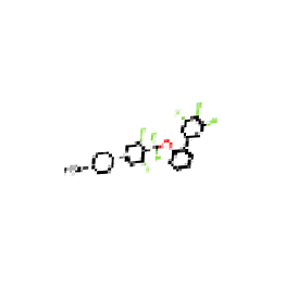 CCCC[C@H]1CC[C@H](c2cc(F)c(C(F)(F)Oc3ccccc3-c3cc(F)c(F)c(F)c3)c(F)c2)CC1